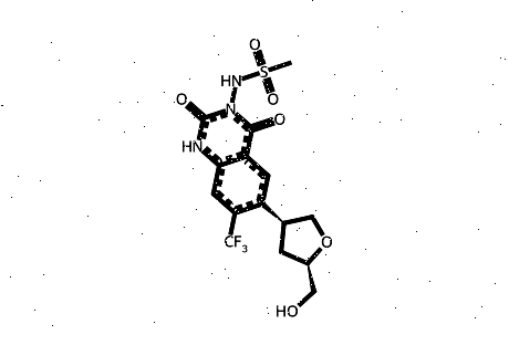 CS(=O)(=O)Nn1c(=O)[nH]c2cc(C(F)(F)F)c([C@H]3CO[C@@H](CO)C3)cc2c1=O